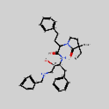 CC(=O)NC1(CC(C)C)CCN(C(CCc2ccccc2)C(=O)N[C@@H](Cc2ccccc2)[C@H](O)CNCc2ccccc2)C1=O